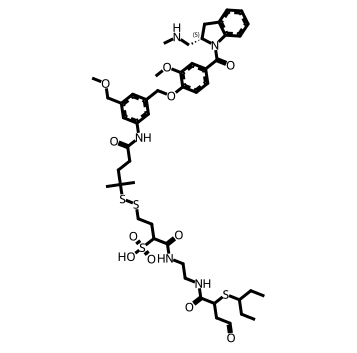 CCC(CC)SC(CC=O)C(=O)NCCNC(=O)C(CCSSC(C)(C)CCC(=O)Nc1cc(COC)cc(COc2ccc(C(=O)N3c4ccccc4C[C@H]3CNC)cc2OC)c1)S(=O)(=O)O